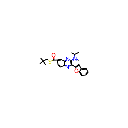 CC(C)N(C)c1nc2cc(C(=O)SCC(C)(C)C)ccc2nc1-c1cc2ccccc2o1